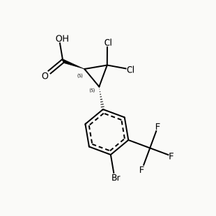 O=C(O)[C@@H]1[C@@H](c2ccc(Br)c(C(F)(F)F)c2)C1(Cl)Cl